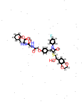 O=C(COc1ccc([C@@H]2[C@@H](SCC(O)c3ccc4c(c3)OCCO4)C(=O)N2c2ccc(F)cc2)cc1)NCC(=O)N[C@H](CC1CCCCC1)C(=O)O